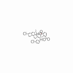 CCC1C=c2cc(Cl)ccc2=c2ccc3c(c21)CCC(Cc1c(C(=O)O)cccc1C(=O)O)C=3.Clc1ccccc1